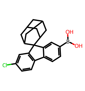 OB(O)c1ccc2c(c1)C1(c3cc(Cl)ccc3-2)C2CC3CC(C2)CC1C3